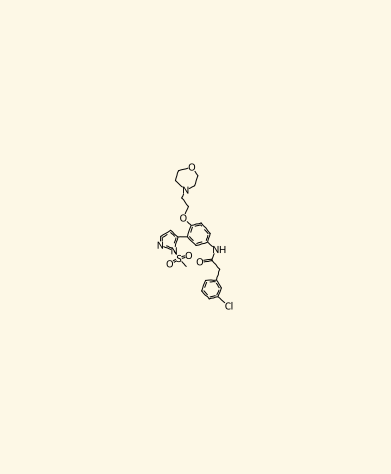 CS(=O)(=O)n1nccc1-c1cc(NC(=O)Cc2cccc(Cl)c2)ccc1OCCN1CCOCC1